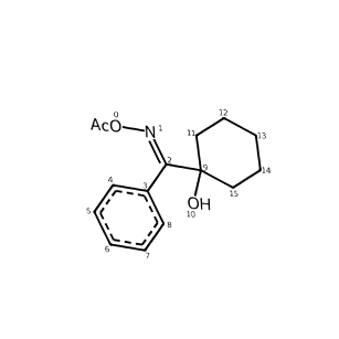 CC(=O)ON=C(c1ccccc1)C1(O)CCCCC1